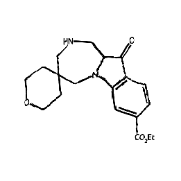 CCOC(=O)c1ccc2c(c1)N1CC3(CCOCC3)CNCC1C2=O